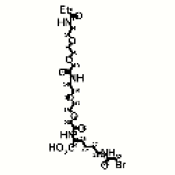 CCC(=O)NCCOCCOCC(=O)NCCOCCOCC(=O)N[C@@H](CCCCNC(=O)CBr)C(=O)O